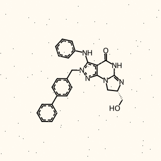 O=C1NC2=N[C@H](CO)CN2c2nn(Cc3ccc(-c4ccccc4)cc3)c(Nc3ccccc3)c21